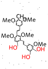 COc1cc(/C=C/c2c(OC)cc(CO)c(/C=C/c3cc(CO)c(CO)c(OC)c3)c2OC)cc(OC)c1C